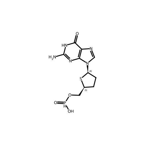 Nc1nc2c(ncn2[C@H]2CC[C@@H](CO[PH](=O)O)S2)c(=O)[nH]1